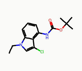 CCn1cc(Cl)c2c(NC(=O)OC(C)(C)C)cccc21